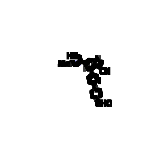 CN/C=C(\C=N)c1cn2ncc(C#N)c2c(-c2ccc(N3CCN(C=O)CC3)nc2)n1